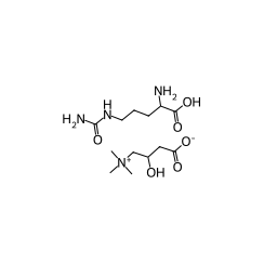 C[N+](C)(C)CC(O)CC(=O)[O-].NC(=O)NCCCC(N)C(=O)O